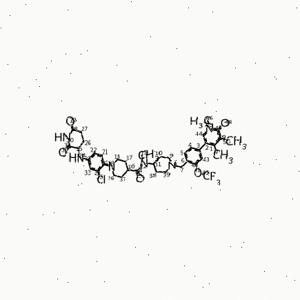 Cc1c(-c2ccc(CN3CCC(N(C)C(=O)C4CCN(c5ccc(NC6CCC(=O)NC6=O)cc5Cl)CC4)CC3)c(OC(F)(F)F)c2)cn(C)c(=O)c1C